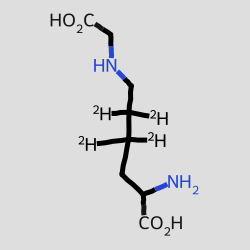 [2H]C([2H])(CNCC(=O)O)C([2H])([2H])CC(N)C(=O)O